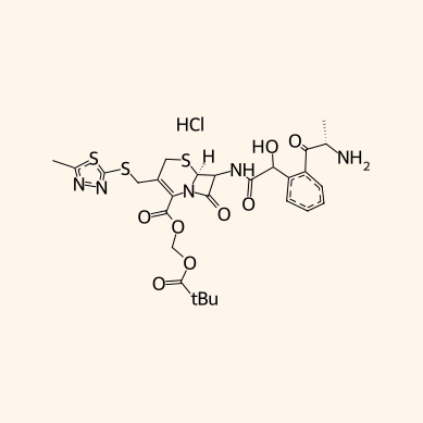 Cc1nnc(SCC2=C(C(=O)OCOC(=O)C(C)(C)C)N3C(=O)C(NC(=O)C(O)c4ccccc4C(=O)[C@H](C)N)[C@@H]3SC2)s1.Cl